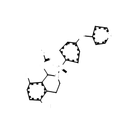 Cc1ccc(F)c2c1CCN(S(=O)(=O)c1ccc(Oc3ccncc3)cc1)C2OC(N)=O